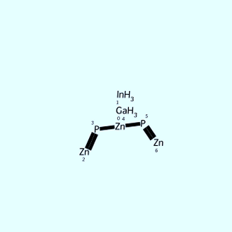 [GaH3].[InH3].[Zn]=[P][Zn][P]=[Zn]